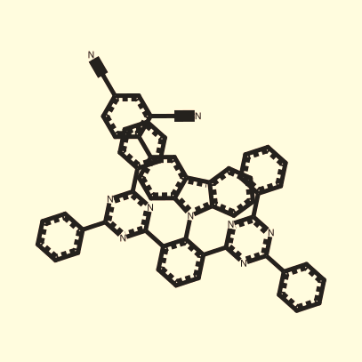 N#Cc1ccc(-c2ccc3c(c2)c2ccccc2n3-c2c(-c3nc(-c4ccccc4)nc(-c4ccccc4)n3)cccc2-c2nc(-c3ccccc3)nc(-c3ccccc3)n2)c(C#N)c1